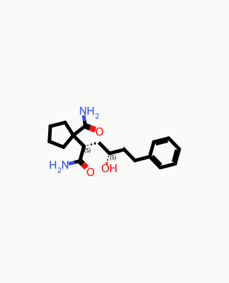 NC(=O)[C@@H](C[C@@H](O)[CH]Cc1ccccc1)C1(C(N)=O)CCCC1